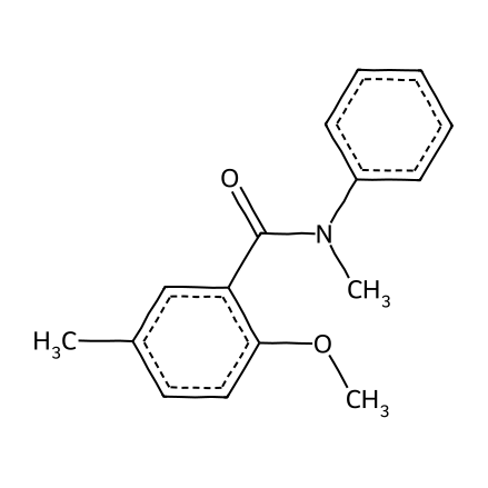 COc1ccc(C)cc1C(=O)N(C)c1ccccc1